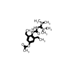 CCc1cc(OC(C)=O)cc(CC)c1NC(=O)NC(N(C)C)=[N+](C)C